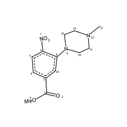 COC(=O)c1ccc([N+](=O)[O-])c(N2CCN(C)CC2)c1